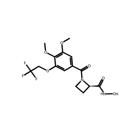 COc1cc(C(=O)N2CC[C@@H]2C(=O)NO)cc(OCC(F)(F)F)c1OC